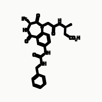 CC(C)[C@@H]1NC(=O)c2cc(NC(=O)NCc3ccccc3)ccc2N(CC(=O)N[C@@H](C)CC(=O)O)C1=O